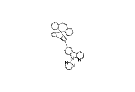 C1=Cc2ccccc2C2(c3ccccc31)c1ccccc1-c1cc(-c3ccc4c(c3)c3cccnc3n4-c3ncccn3)ccc12